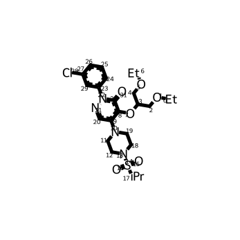 CCOCC(COCC)Oc1c(N2CCN(S(=O)(=O)C(C)C)CC2)cnn(-c2cccc(Cl)c2)c1=O